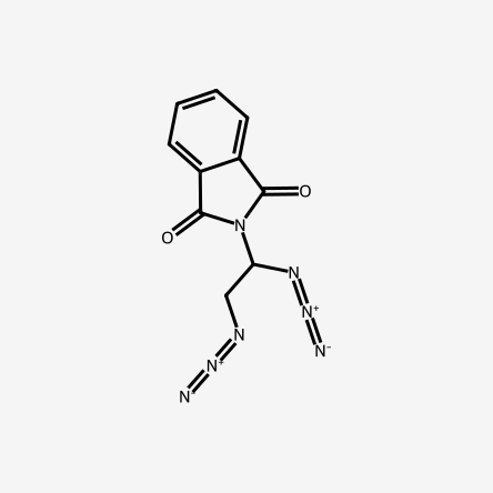 [N-]=[N+]=NCC(N=[N+]=[N-])N1C(=O)c2ccccc2C1=O